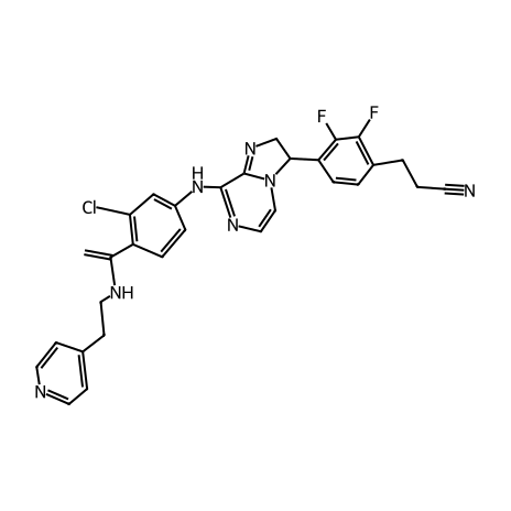 C=C(NCCc1ccncc1)c1ccc(NC2=NC=CN3C2=NCC3c2ccc(CCC#N)c(F)c2F)cc1Cl